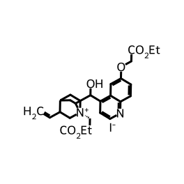 C=CC1C[N@+]2(CC(=O)OCC)CCC1CC2C(O)c1ccnc2ccc(OCC(=O)OCC)cc12.[I-]